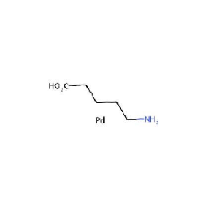 NCCCCC(=O)O.[Pd]